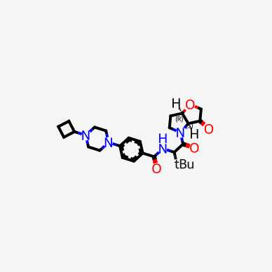 CC(C)(C)C(NC(=O)c1ccc(N2CCN(C3CCC3)CC2)cc1)C(=O)N1CC[C@H]2OCC(=O)[C@H]21